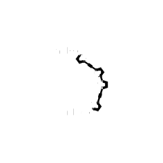 CCCCCCc1ccc(C#Cc2ccc(-c3ccc(C#Cc4ccc(CCCCCC)s4)s3)s2)s1